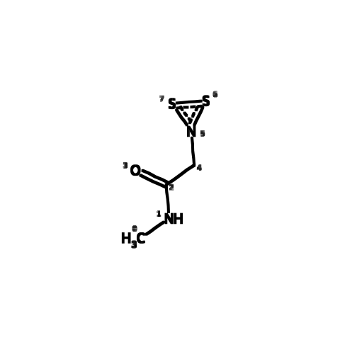 CNC(=O)Cn1ss1